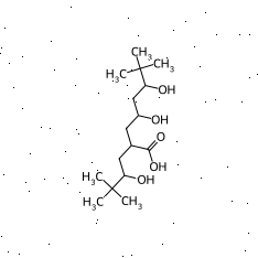 CC(C)(C)C(O)CC(O)CC(CC(O)C(C)(C)C)C(=O)O